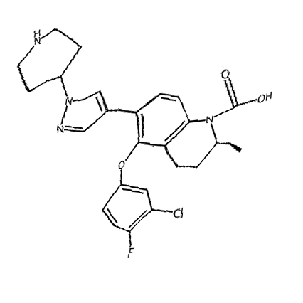 C[C@H]1CCc2c(ccc(-c3cnn(C4CCNCC4)c3)c2Oc2ccc(F)c(Cl)c2)N1C(=O)O